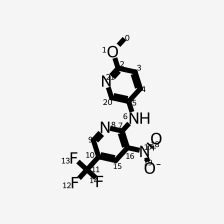 COc1ccc(Nc2ncc(C(F)(F)F)cc2[N+](=O)[O-])cn1